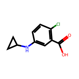 O=C(O)c1cc(NC2CC2)ccc1Cl